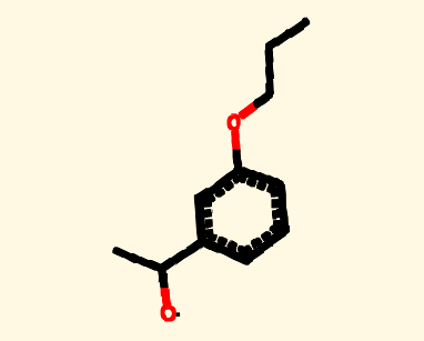 CCCOc1cccc(C(C)[O])c1